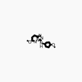 COc1ccc(Nc2nnc3ccc(OC)nn23)cc1